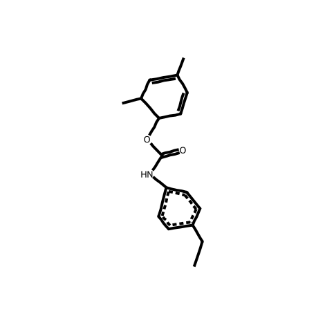 CCc1ccc(NC(=O)OC2C=CC(C)=CC2C)cc1